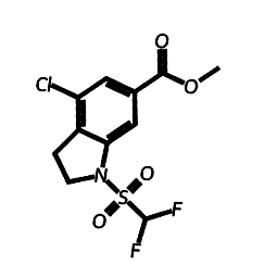 COC(=O)c1cc(Cl)c2c(c1)N(S(=O)(=O)C(F)F)CC2